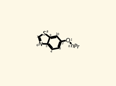 CCCOc1ccc2ncsc2c1